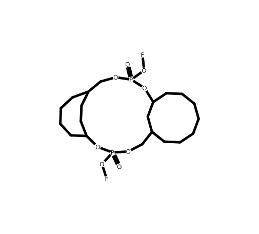 O=P1(OF)OCC2CCCCCCCC(C2)OP(=O)(OF)OCC2CCCCC(CC2)O1